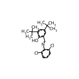 CC(C)(C)c1cc(C=Nc2c(Cl)cccc2Cl)c(O)c(C(C)(C)C)c1